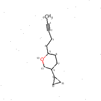 CC#CCCC1CCC(C2CC2)CO1